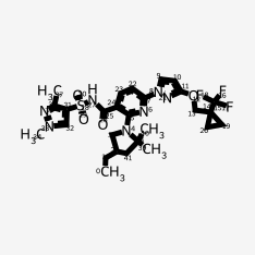 CCC1CN(c2nc(-n3ccc(OCC4(C(F)(F)F)CC4)n3)ccc2C(=O)NS(=O)(=O)c2cn(C)nc2C)C(C)(C)C1